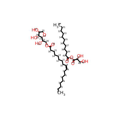 CCCCCCCC/C=C\CCCCCCCC(=O)OC[C@@H](O)[C@H]1OC[C@H](O)[C@H]1O.CCCCCCCCCCCC(=O)OC(=O)C(O)CO